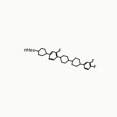 CCCCCCC1CCC(c2ccc(C3CCC(C4CCC(c5ccc(F)c(F)c5)CC4)CC3)c(F)c2)CC1